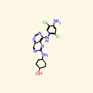 Nc1cc(Cl)c(Nc2ncnc3cnc(NC4CCC(O)CC4)nc23)cc1Cl